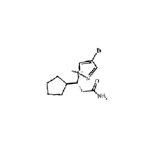 C[N+]1([C@H](CC(N)=O)C2CCCC2)C=C(Br)C=N1